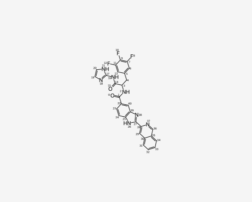 O=C(NC(Cc1cc(F)c(F)c(F)c1)C(=O)Nc1ncc[nH]1)c1ccc2[nH]c(-c3cc4ccccc4cn3)nc2c1